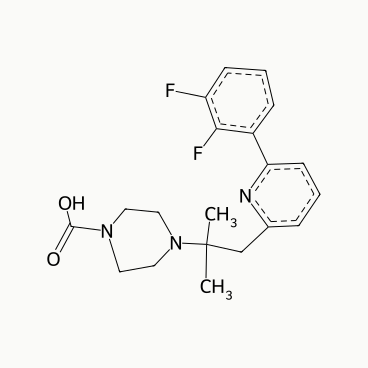 CC(C)(Cc1cccc(-c2cccc(F)c2F)n1)N1CCN(C(=O)O)CC1